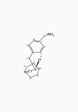 NCc1ccc(S[C@H]2CN3CCC2CC3)cc1